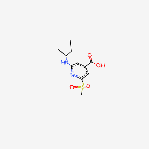 CCC(C)Nc1cc(C(=O)O)cc(S(C)(=O)=O)n1